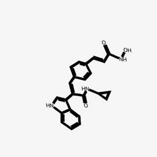 O=C(C=Cc1ccc(C=C(C(=O)NC2CC2)c2c[nH]c3ccccc23)cc1)NO